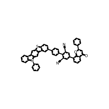 N#Cc1cc(-c2cccc3c(=O)cc(-c4ccccc4)oc23)cc(C#N)c1-c1ccc(-c2ccc3sc4cc5c6ccccc6n(-c6ccccc6)c5cc4c3c2)cc1